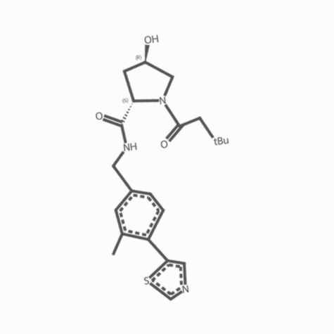 Cc1cc(CNC(=O)[C@@H]2C[C@@H](O)CN2C(=O)CC(C)(C)C)ccc1-c1cncs1